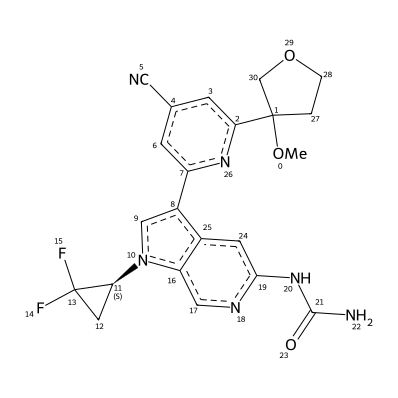 COC1(c2cc(C#N)cc(-c3cn([C@H]4CC4(F)F)c4cnc(NC(N)=O)cc34)n2)CCOC1